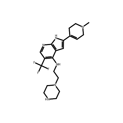 CN1CC=C(c2cc3c(NCCN4CCNCC4)c(C(F)(F)F)cnc3[nH]2)CC1